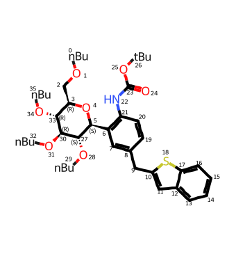 CCCCOC[C@H]1O[C@@H](c2cc(Cc3cc4ccccc4s3)ccc2NC(=O)OC(C)(C)C)[C@H](OCCCC)[C@@H](OCCCC)[C@@H]1OCCCC